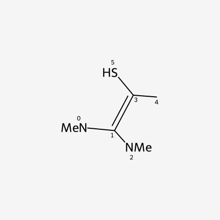 CNC(NC)=C(C)S